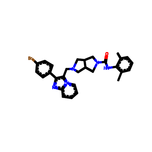 Cc1cccc(C)c1NC(=O)N1CC2CN(Cc3c(-c4ccc(Br)cc4)nc4ccccn34)CC2C1